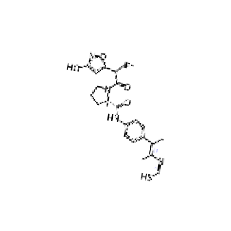 CC(/N=C\S)=C(/C)c1ccc(NC(=O)[C@@H]2CCCN2C(=O)C(c2cc(O)no2)C(C)C)cc1